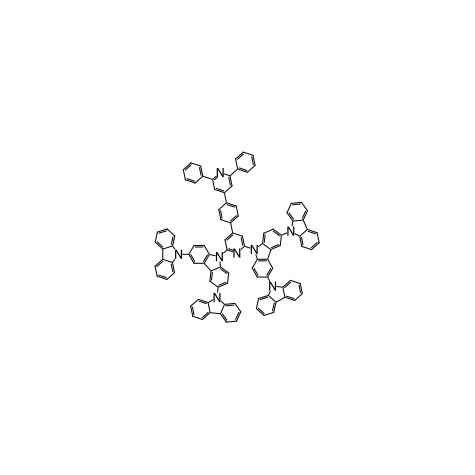 c1ccc(-c2cc(-c3ccc(-c4cc(-n5c6ccc(-n7c8ccccc8c8ccccc87)cc6c6cc(-n7c8ccccc8c8ccccc87)ccc65)nc(-n5c6ccc(-n7c8ccccc8c8ccccc87)cc6c6cc(-n7c8ccccc8c8ccccc87)ccc65)c4)cc3)cc(-c3ccccc3)n2)cc1